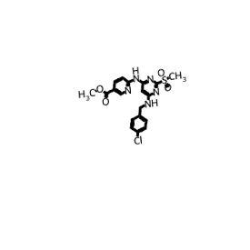 COC(=O)c1ccc(Nc2cc(NCc3ccc(Cl)cc3)nc(S(C)(=O)=O)n2)nc1